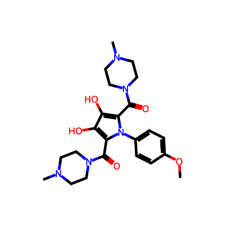 COc1ccc(-n2c(C(=O)N3CCN(C)CC3)c(O)c(O)c2C(=O)N2CCN(C)CC2)cc1